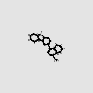 CC(C)c1ccc(-c2ccc3sc4ccccc4c3c2)c2ccccc12